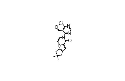 CC1(C)Cc2cc3c(=O)n(-c4ncnc(Cl)c4C=O)ccn3c2C1